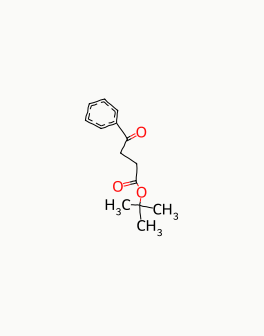 CC(C)(C)OC(=O)CCC(=O)c1ccccc1